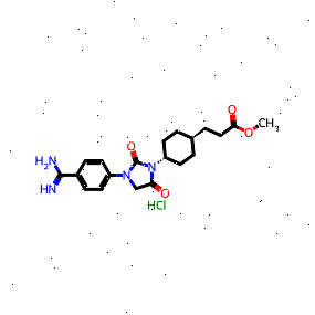 COC(=O)CC[C@H]1CC[C@H](N2C(=O)CN(c3ccc(C(=N)N)cc3)C2=O)CC1.Cl